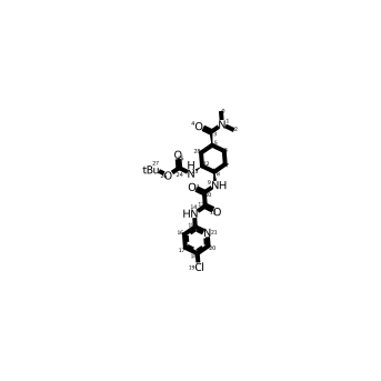 CN(C)C(=O)[C@H]1CC[C@@H](NC(=O)C(=O)Nc2ccc(Cl)cn2)[C@H](NC(=O)OC(C)(C)C)C1